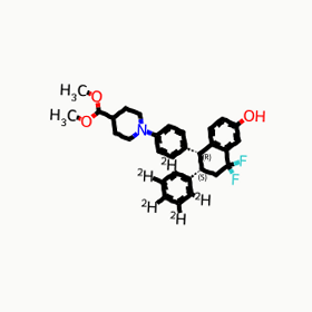 [2H]c1c([2H])c([2H])c([C@H]2CC(F)(F)c3cc(O)ccc3[C@H]2c2ccc(N3CCC(C(OC)OC)CC3)cc2)c([2H])c1[2H]